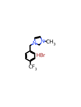 Br.CN1C=CN(Cc2ccc(C(F)(F)F)cc2)C1